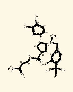 CN(Cc1ccc(C(F)(F)F)c(F)c1)[C@@H]1CN(C(=O)OCCC(N)=O)C[C@@H]1c1ccc(Cl)c(Cl)c1